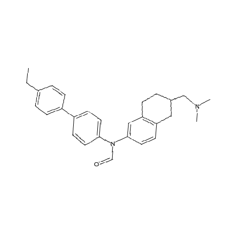 CCc1ccc(-c2ccc(N(C=O)c3ccc4c(c3)CCC(CN(C)C)C4)cc2)cc1